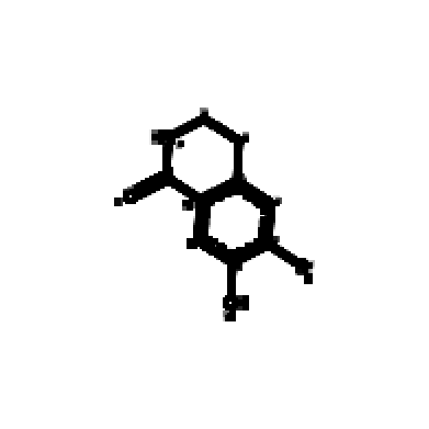 O=C1NCCc2cc(Br)c(O)cc21